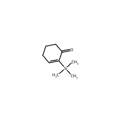 C[Si](C)(C)C1=CCCCC1=O